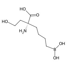 N[C@@](CCO)(CCCCB(O)O)C(=O)O